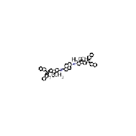 CC1(C)c2cc(/C=C/c3ccc4ccc5c(/C=C/c6ccc7c(c6)C(C)(C)c6cc(N(c8ccc9ccccc9c8)c8ccc9ccccc9c8)ccc6-7)ccc6ccc3c4c65)ccc2-c2ccc(N(c3ccc4ccccc4c3)c3ccc4ccccc4c3)cc21